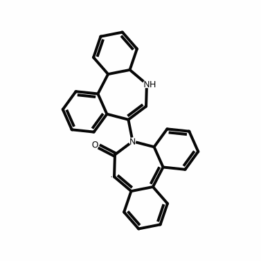 O=C1[C]=c2ccccc2=C2C=CC=CC2N1C1=CNC2C=CC=CC2c2ccccc21